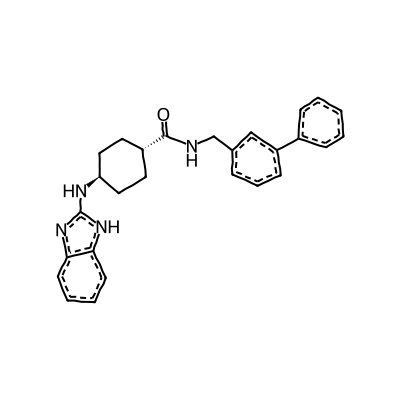 O=C(NCc1cccc(-c2ccccc2)c1)[C@H]1CC[C@H](Nc2nc3ccccc3[nH]2)CC1